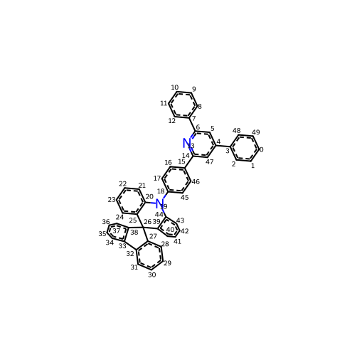 c1ccc(-c2cc(-c3ccccc3)nc(-c3ccc(N4c5ccccc5C5(c6ccccc6-c6ccccc65)c5ccccc54)cc3)c2)cc1